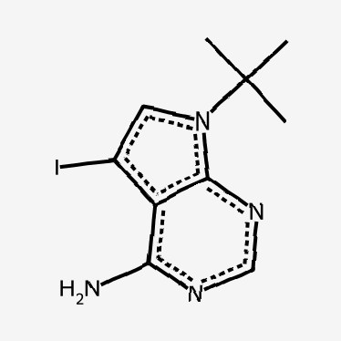 CC(C)(C)n1cc(I)c2c(N)ncnc21